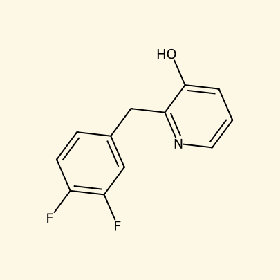 Oc1cccnc1Cc1ccc(F)c(F)c1